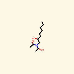 CCCCCCC(O)CN(C(C)O)C(C)O